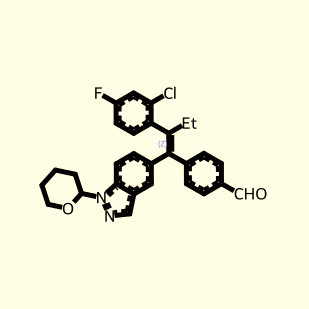 CC/C(=C(\c1ccc(C=O)cc1)c1ccc2c(cnn2C2CCCCO2)c1)c1ccc(F)cc1Cl